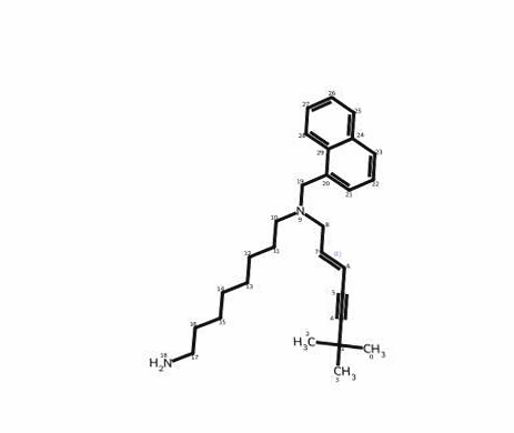 CC(C)(C)C#C/C=C/CN(CCCCCCCCN)Cc1cccc2ccccc12